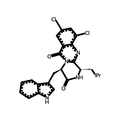 CC(C)C[C@@H]1NC(=O)[C@@H](Cc2c[nH]c3ccccc23)n2c1nc1c(Cl)cc(Cl)cc1c2=O